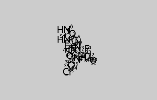 CNC(=O)C(C)Nc1ccnc(N2C[C@@H](c3c(F)cc(OC)cc3F)[C@H](NC(=O)c3ccc(Cl)cc3)C2=O)c1C(F)(F)F